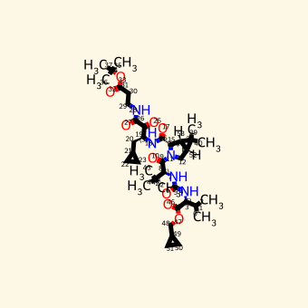 CC(C)[C@H](NC(=O)N[C@H](C(=O)N1C[C@H]2[C@@H]([C@H]1C(=O)N[C@@H](CC1CC1)C(=O)C(=O)NCCC(=O)OC(C)(C)C)C2(C)C)C(C)(C)C)C(=O)OCC1CC1